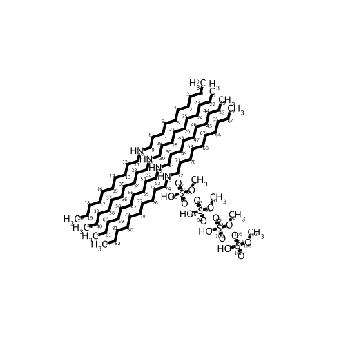 CCCCCCCCCCNCCCCCCCCCC.CCCCCCCCCCNCCCCCCCCCC.CCCCCCCCCCNCCCCCCCCCC.CCCCCCCCCCNCCCCCCCCCC.COS(=O)(=O)O.COS(=O)(=O)O.COS(=O)(=O)O.COS(=O)(=O)O